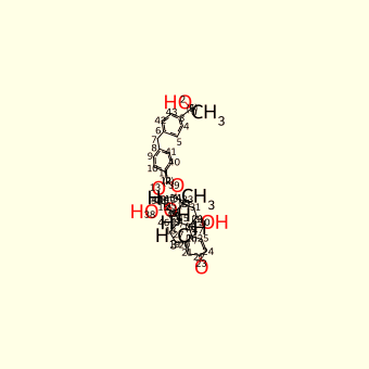 C[C@H](O)c1ccc(Cc2ccc([C@@H]3O[C@@H]4C[C@H]5[C@@H]6CCC7=CC(=O)C=C[C@]7(C)[C@H]6[C@@H](O)C[C@]5(C)[C@]4(C(=O)CO)O3)cc2)cc1